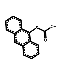 O=C(O)Sc1c2ccccc2cc2ccccc12